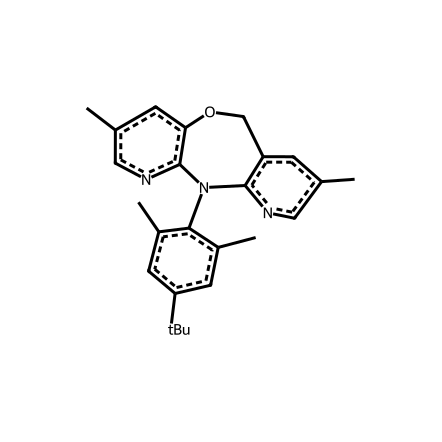 Cc1cnc2c(c1)COc1cc(C)cnc1N2c1c(C)cc(C(C)(C)C)cc1C